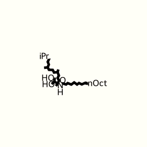 CCCCCCCCC=CCCCCCCCC(=O)NC(C)(CCCC(C)CCCC(C)CCCC(C)C)C(O)CO